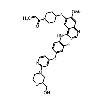 C=CC(=O)N1CCC(Nc2cc3c(Nc4ccc(Oc5ccnc(N6CCO[C@H](CO)C6)c5)cc4F)ncnc3cc2OC)CC1